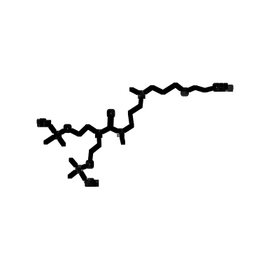 COCCOCCCN(C)CCCN(C)C(=O)N(CCO[Si](C)(C)C(C)(C)C)CCO[Si](C)(C)C(C)(C)C